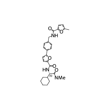 CNC(=O)[C@@H](NC(=O)c1ccc(-c2ccc(CNC(=O)c3ccc(C)o3)cc2)o1)C1CCCCC1